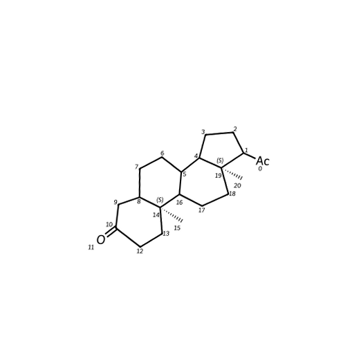 CC(=O)C1CCC2C3CCC4CC(=O)CC[C@]4(C)C3CC[C@]12C